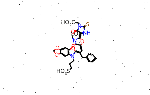 O=C(O)CN1C(=O)/C(=c2/o/c(=C/C(Cc3ccccc3)=C3\Oc4cc5c(cc4N3CCCS(=O)(=O)O)OCO5)c(=O)n2CC(=O)O)NC1=S